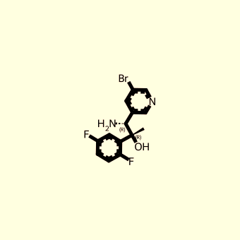 C[C@@](O)(c1cc(F)ccc1F)[C@H](N)c1cncc(Br)c1